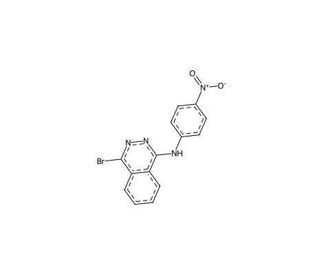 O=[N+]([O-])c1ccc(Nc2nnc(Br)c3ccccc23)cc1